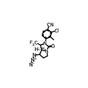 Cc1c(N2C(=O)N3CCC(N=[N+]=[N-])[C@H]3C2C(F)(F)F)ccc(C#N)c1Cl